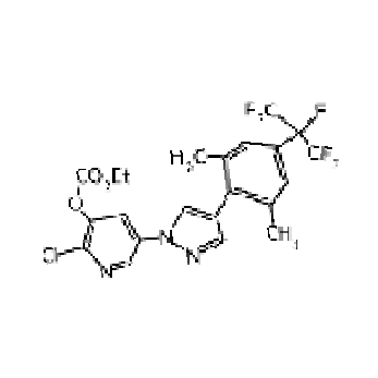 CCOC(=O)Oc1cc(-n2cc(-c3c(C)cc(C(F)(C(F)(F)F)C(F)(F)F)cc3C)cn2)cnc1Cl